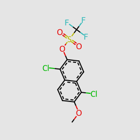 COc1ccc2c(Cl)c(OS(=O)(=O)C(F)(F)F)ccc2c1Cl